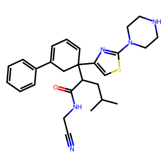 CC(C)CC(C(=O)NCC#N)C1(c2csc(N3CCNCC3)n2)C=CC=C(c2ccccc2)C1